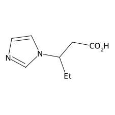 CCC(CC(=O)O)n1ccnc1